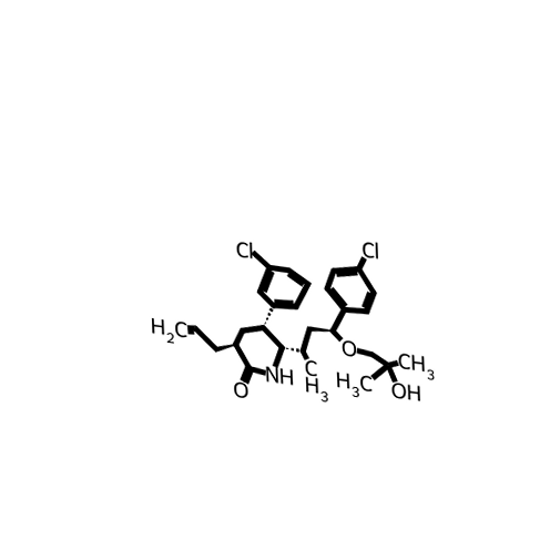 C=CC[C@H]1C[C@H](c2cccc(Cl)c2)[C@H](C(C)C[C@H](OCC(C)(C)O)c2ccc(Cl)cc2)NC1=O